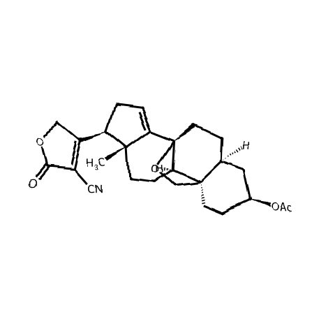 CC(=O)O[C@H]1CC[C@@]23CO[C@]4(CC[C@H]2C1)C1=CC[C@H](C2=C(C#N)C(=O)OC2)[C@@]1(C)CC[C@H]34